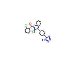 O=C(c1c(Cl)cccc1Cl)n1nc(-c2ccc(-c3nnn[nH]3)cc2)c2ccccc21